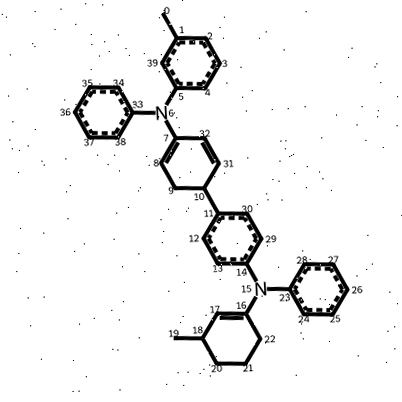 Cc1cccc(N(C2=CCC(c3ccc(N(C4=CC(C)CCC4)c4ccccc4)cc3)C=C2)c2ccccc2)c1